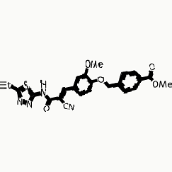 CCc1nnc(NC(=O)/C(C#N)=C/c2ccc(OCc3ccc(C(=O)OC)cc3)c(OC)c2)s1